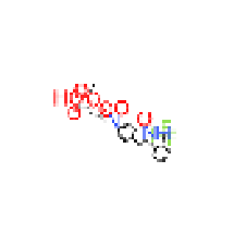 CC(=O)O[C@@H](CC1CN(c2ccc3cc(-c4ccccc4C(F)(F)F)[nH]c(=O)c3c2)C(=O)O1)C(=O)O